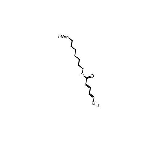 CC=CC=CC(=O)OCCCCCCCCCCCCCCCC